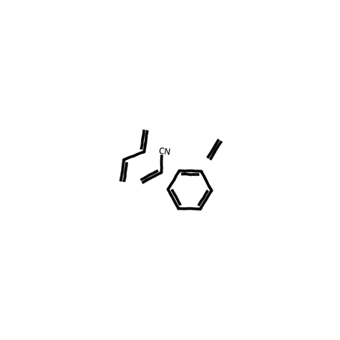 C=C.C=CC#N.C=CC=C.c1ccccc1